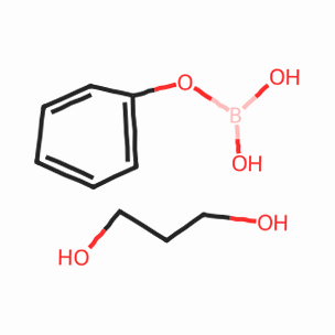 OB(O)Oc1ccccc1.OCCCO